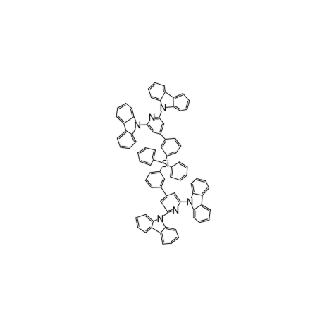 c1ccc([Si](c2ccccc2)(c2cccc(-c3cc(-n4c5ccccc5c5ccccc54)nc(-n4c5ccccc5c5ccccc54)c3)c2)c2cccc(-c3cc(-n4c5ccccc5c5ccccc54)nc(-n4c5ccccc5c5ccccc54)c3)c2)cc1